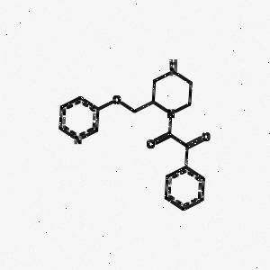 O=C(C(=O)N1CCNCC1COc1cccnc1)c1ccccc1